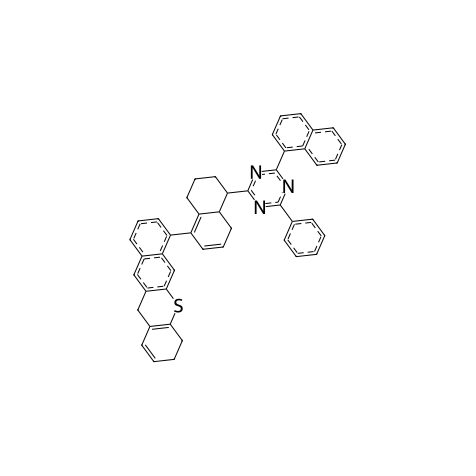 C1=CC2=C(CC1)Sc1cc3c(C4=C5CCCC(c6nc(-c7ccccc7)nc(-c7cccc8ccccc78)n6)C5CC=C4)cccc3cc1C2